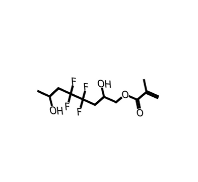 C=C(C)C(=O)OCC(O)CC(F)(F)C(F)(F)CC(C)O